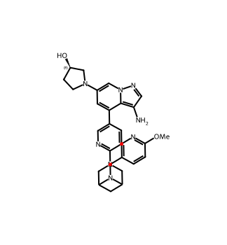 COc1ccc(CN2C3CC2CN(c2ccc(-c4cc(N5CC[C@@H](O)C5)cn5ncc(N)c45)cn2)C3)cn1